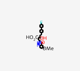 COc1ccc2nnn(CC[C@H](C(=O)O)[C@H](O)CCc3ccc(-c4ccc(F)cc4)cc3)c(=O)c2c1